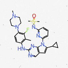 Cc1c(Nc2ncc3cc(C4CC4)n(-c4cccc(N=S(C)(C)=O)n4)c3n2)ccc(N2CCN(C)CC2)c1F